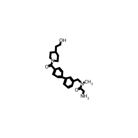 CN(Cc1cccc(-c2ccc(C(=O)N3CCC(CCO)CC3)cc2)c1)C(=O)CN